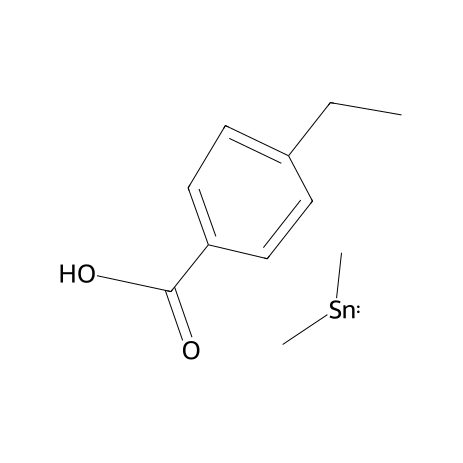 CCc1ccc(C(=O)O)cc1.[CH3][Sn][CH3]